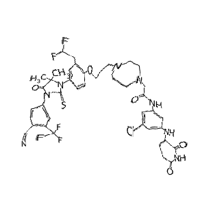 CC1(C)C(=O)N(c2ccc(C#N)c(C(F)(F)F)c2)C(=S)N1c1ccc(OCCN2CCN(CC(=O)Nc3cc(Cl)cc(NC4CCC(=O)NC4=O)c3)CC2)c(CC(F)F)c1